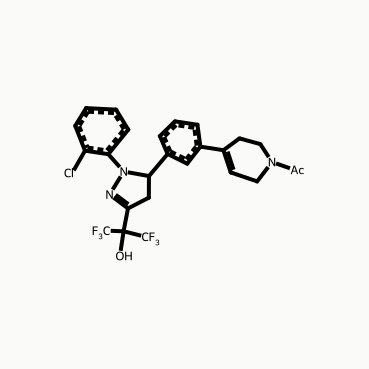 CC(=O)N1CC=C(c2cccc(C3CC(C(O)(C(F)(F)F)C(F)(F)F)=NN3c3ccccc3Cl)c2)CC1